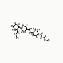 CCCCCC1CCC(CCC2CCC(c3ccccc3CCC)CC2)CC1